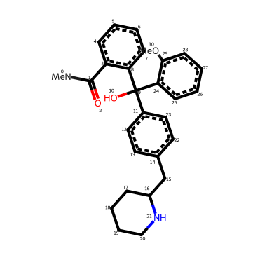 CNC(=O)c1ccccc1C(O)(c1ccc(CC2CCCCN2)cc1)c1ccccc1OC